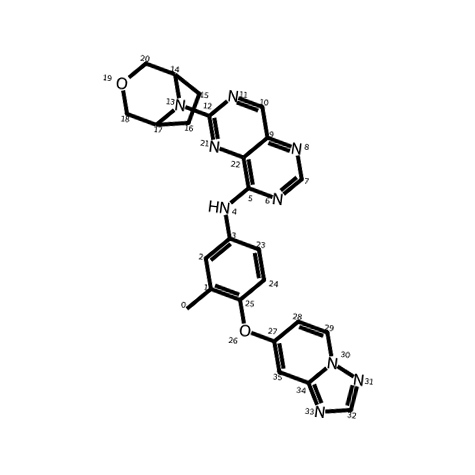 Cc1cc(Nc2ncnc3cnc(N4C5CCC4COC5)nc23)ccc1Oc1ccn2ncnc2c1